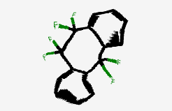 FC1(F)c2ccccc2C(F)(F)C(F)(F)c2ccccc21